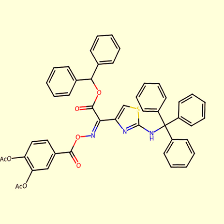 CC(=O)Oc1ccc(C(=O)O/N=C(\C(=O)OC(c2ccccc2)c2ccccc2)c2csc(NC(c3ccccc3)(c3ccccc3)c3ccccc3)n2)cc1OC(C)=O